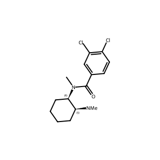 CN[C@H]1CCCC[C@H]1N(C)C(=O)c1ccc(Cl)c(Cl)c1